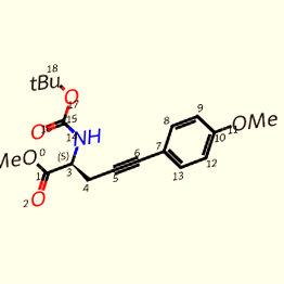 COC(=O)[C@H](CC#Cc1ccc(OC)cc1)NC(=O)OC(C)(C)C